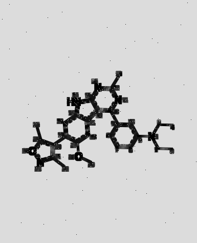 CCN(CC)c1cccc(-c2nc(C)nc3[nH]c4cc(-c5c(C)noc5C)c(OC)cc4c23)c1